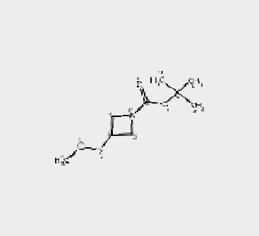 COSC1CN(C(=O)OC(C)(C)C)C1